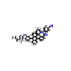 C=C/C=C\c1cc(-c2c3ccccc3c(-c3cccc(-c4nc5cc(C#N)ccc5n4-c4ccccc4)c3)c3ccccc23)ccc1C